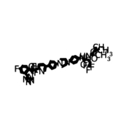 CC(C)(C)OC(=O)NC(CC(F)(F)F)C(=O)Nc1ccc(N2CCN(c3ccc(-c4ccc(C(F)(F)[C@]5(O)Cn6nnnc6-c6cc(F)ccc65)nc4)cc3)CC2)cc1